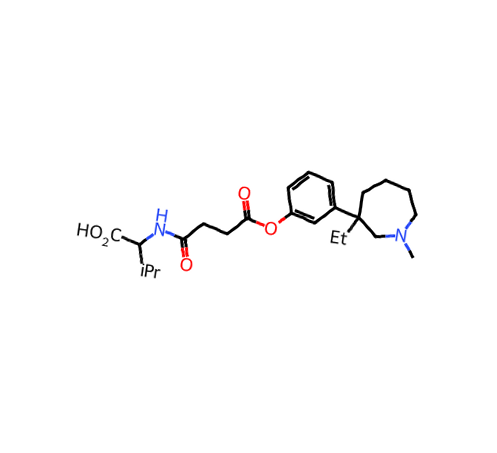 CCC1(c2cccc(OC(=O)CCC(=O)NC(C(=O)O)C(C)C)c2)CCCCN(C)C1